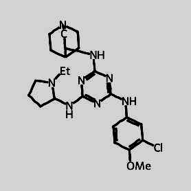 CCN1CCCC1Nc1nc(Nc2ccc(OC)c(Cl)c2)nc(NC2CN3CCC2CC3)n1